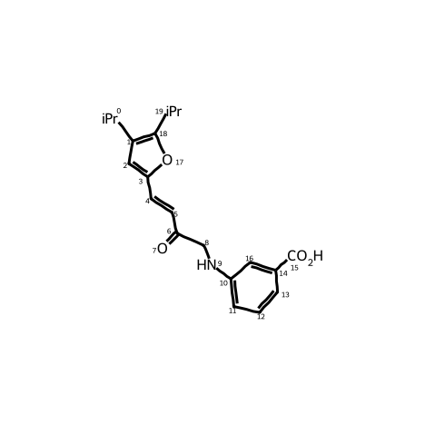 CC(C)c1cc(C=CC(=O)CNc2cccc(C(=O)O)c2)oc1C(C)C